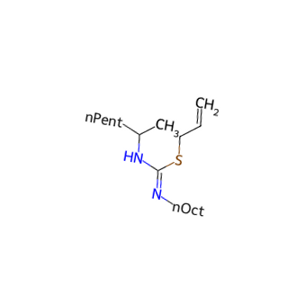 C=CCSC(=NCCCCCCCC)NC(C)CCCCC